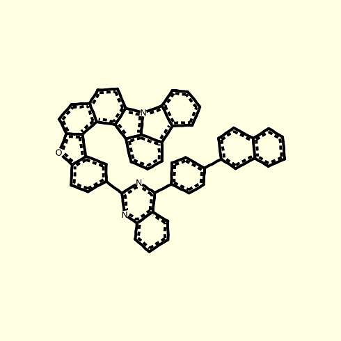 c1ccc2cc(-c3ccc(-c4nc(-c5ccc6oc7ccc8ccc9c(c%10cccc%11c%12ccccc%12n9c%11%10)c8c7c6c5)nc5ccccc45)cc3)ccc2c1